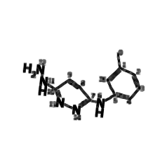 Cc1cccc(Nc2ccc(NN)nn2)c1